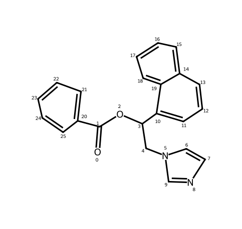 O=C(OC(Cn1ccnc1)c1cccc2ccccc12)c1ccccc1